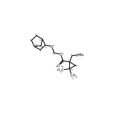 CC(C)(C)CC1(C(=O)OCOC2CC3CCC2C3)CC1(C)C